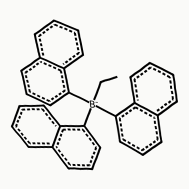 CC[B-](c1cccc2ccccc12)(c1cccc2ccccc12)c1cccc2ccccc12